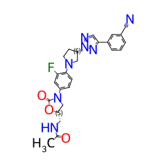 CC(=O)NC[C@H]1CN(c2ccc(N3CC[C@H](n4ncc(-c5cccc(C#N)c5)n4)C3)c(F)c2)C(=O)O1